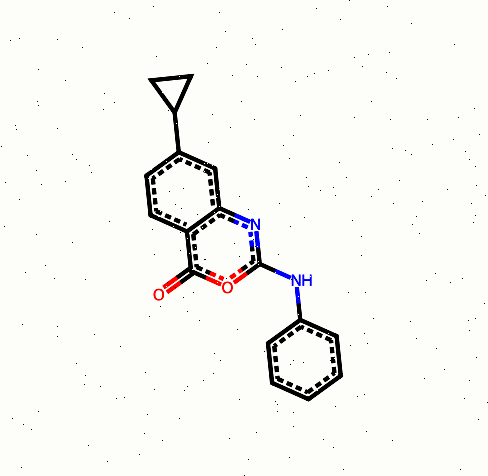 O=c1oc(Nc2ccccc2)nc2cc(C3CC3)ccc12